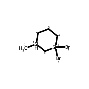 C[SiH]1CCC[Si](Br)(Br)C1